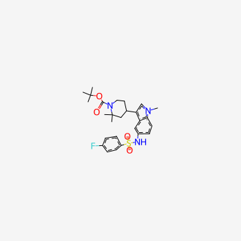 Cn1cc(C2CCN(C(=O)OC(C)(C)C)C(C)(C)C2)c2cc(NS(=O)(=O)c3ccc(F)cc3)ccc21